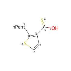 CCCCCc1sccc1C(O)=S